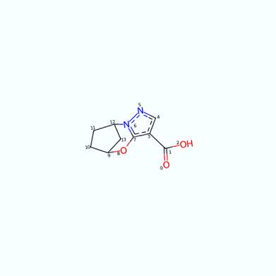 O=C(O)c1cnn2c1OC1CCC2C1